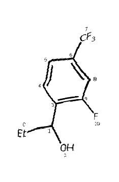 CCC(O)c1ccc(C(F)(F)F)cc1F